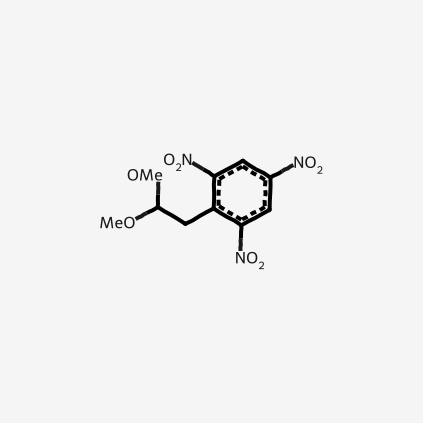 COC(Cc1c([N+](=O)[O-])cc([N+](=O)[O-])cc1[N+](=O)[O-])OC